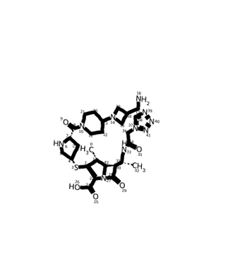 C[C@H]1C(S[C@@H]2CN[C@H](C(=O)N3CCC(N4CC(CN)C4)CC3)C2)=C(C(=O)O)N2C(=O)[C@H]([C@@H](C)NC(=O)Cn3cnnn3)C12